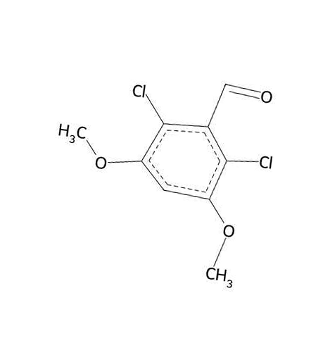 COc1cc(OC)c(Cl)c(C=O)c1Cl